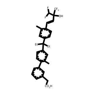 CCC(CC)(c1ccc(/C=C/C(O)(C(F)F)C(F)(F)F)c(C)c1)c1ccc(-c2cccc(CC(=O)O)c2)c(C)c1